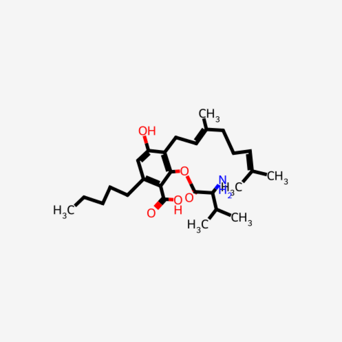 CCCCCc1cc(O)c(C/C=C(\C)CCC=C(C)C)c(OC(=O)C(N)C(C)C)c1C(=O)O